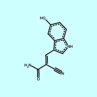 N#C/C(=C\c1c[nH]c2ccc(O)cc12)C(N)=O